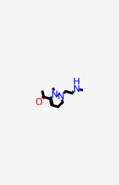 CNCCN1CCC=C(C(C)=O)N1C